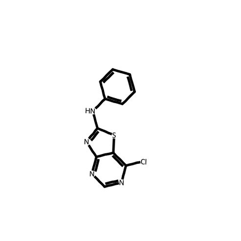 Clc1ncnc2nc(Nc3ccccc3)sc12